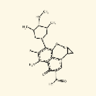 CNC1C(C)CN(c2c(F)c(N)c3c(=O)c(C(=O)O)cn(C4CC4)c3c2OC)CC1C